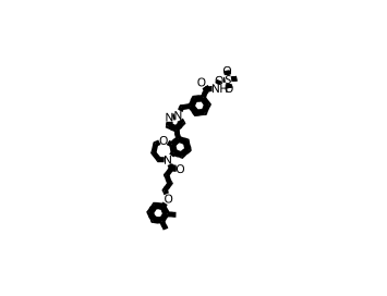 Cc1cccc(OCCCC(=O)N2CCCOc3c(-c4cnn(Cc5cccc(C(=O)NOS(C)(=O)=O)c5)c4)cccc32)c1C